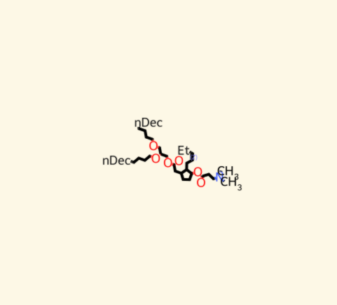 CC/C=C\CC1C(CC(=O)OCC(COCCCCCCCCCCCCCC)OCCCCCCCCCCCCCC)CCC1OC(=O)CCN(C)C